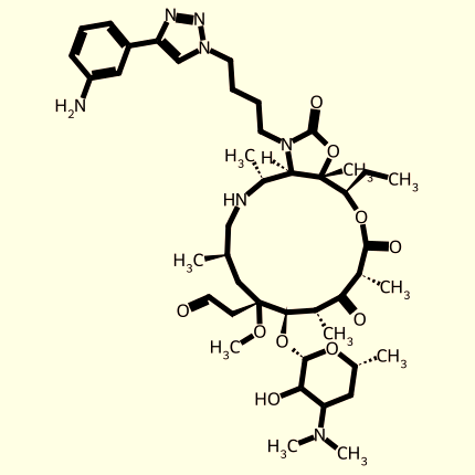 CC[C@H]1OC(=O)[C@H](C)C(=O)[C@H](C)[C@@H](O[C@@H]2O[C@H](C)CC(N(C)C)C2O)[C@](CC=O)(OC)C[C@@H](C)CN[C@H](C)[C@H]2N(CCCCn3cc(-c4cccc(N)c4)nn3)C(=O)O[C@]12C